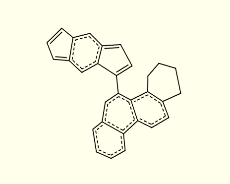 C1=Cc2cc3c(cc2=C1)C(c1cc2ccccc2c2ccc4c(c12)CCCC4)=CC=3